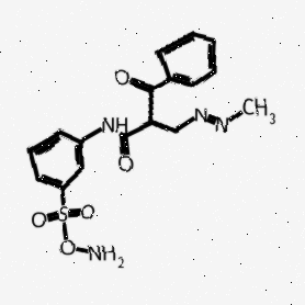 CN=NCC(C(=O)Nc1cccc(S(=O)(=O)ON)c1)C(=O)c1ccccc1